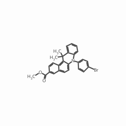 COC(=O)c1ccc2c3c(ccc2c1)N(c1ccc(Br)cc1)c1ccccc1C3(C)C